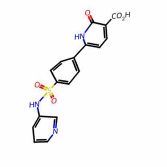 O=C(O)c1ccc(-c2ccc(S(=O)(=O)Nc3cccnc3)cc2)[nH]c1=O